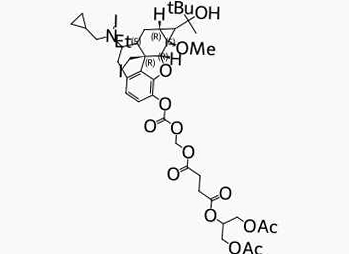 CC[C@]12C[C@@H]3C(C(C)(O)C(C)(C)C)[C@]3(OC)[C@@H]3Oc4c(OC(=O)OCOC(=O)CCC(=O)OC(COC(C)=O)COC(C)=O)ccc(c4[C@@]31CI)CC2N(I)CC1CC1